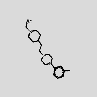 CC(=O)CN1CCC(CCN2CCN(c3cccc(C)c3)CC2)CC1